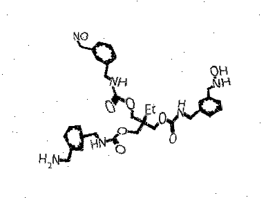 CCC(COC(=O)NCc1cccc(CN)c1)(COC(=O)NCc1cccc(CN=O)c1)COC(=O)NCc1cccc(CNO)c1